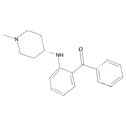 CN1CCC(Nc2ccccc2C(=O)c2ccccc2)CC1